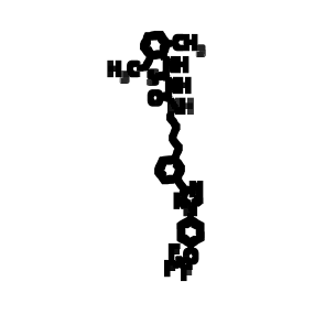 CCc1cccc(C)c1NC(=S)NC(=O)NCCCCc1cccc(-c2ncn(-c3ccc(OC(F)(F)F)cc3)n2)c1